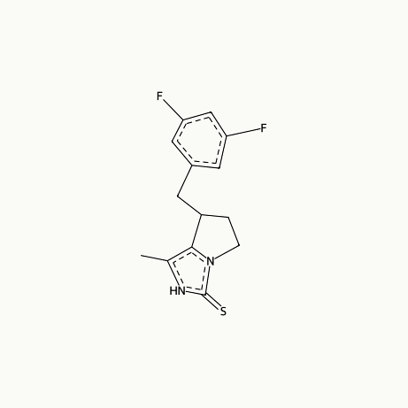 Cc1[nH]c(=S)n2c1C(Cc1cc(F)cc(F)c1)CC2